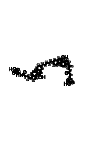 C[C@H](CCC(=O)NCCS(=O)(=O)O)[C@H]1CC[C@H]2[C@@H]3[C@@H](O)CC4C[C@H](CCCCC[C@@H]5CC[C@@]6(C)C(C5)C[C@H](O)[C@H]5[C@@H]7CC[C@H]([C@@H](C)CCC(=O)CCCS(=O)(=O)O)[C@@]7(C)CC[C@@H]56)CC[C@]4(C)[C@H]3CC[C@]12C